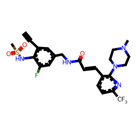 C#Cc1cc(CNC(=O)C=Cc2ccc(C(F)(F)F)nc2N2CCN(C)CC2)cc(F)c1NS(C)(=O)=O